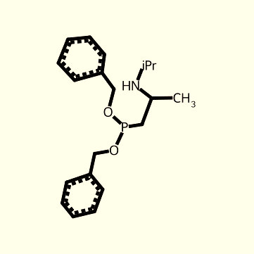 CC(C)NC(C)CP(OCc1ccccc1)OCc1ccccc1